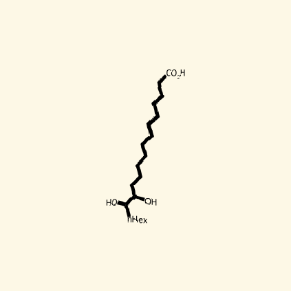 CCCCCCC(O)C(O)CCCCCCCCCCCC(=O)O